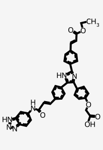 CCOC(=O)C=Cc1ccc(-c2nc(-c3ccc(OCC(=O)O)cc3)c(-c3ccc(C=CC(=O)Nc4ccc5nn[nH]c5c4)cc3)[nH]2)cc1